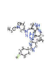 CC(C)c1cnc(-c2ccc(F)cc2)nc1Nc1ccnc2[nH]cc(NCCN(C)C)c12